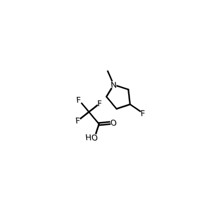 CN1CCC(F)C1.O=C(O)C(F)(F)F